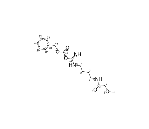 COCC(=O)NCCCCNC(=N)OC(=O)OCc1ccccc1